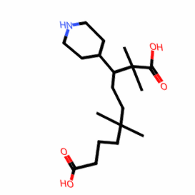 CC(C)(CCCC(=O)O)CCC(C1CCNCC1)C(C)(C)C(=O)O